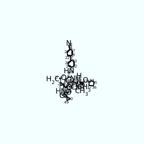 C=C[C@@H]1C[C@]1(NC(=O)[C@H](CNc1ccc(-c2ccc(C#N)cc2)cc1)NC(=O)[C@@H](NC(=O)OC1CCCC1)C(C)(C)C)C(=O)NS(=O)(=O)C1CC1